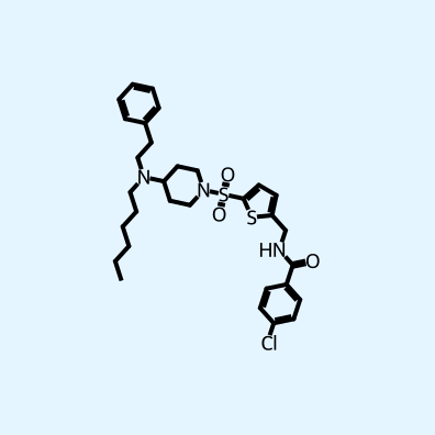 CCCCCCN(CCc1ccccc1)C1CCN(S(=O)(=O)c2ccc(CNC(=O)c3ccc(Cl)cc3)s2)CC1